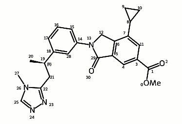 COC(=O)c1cc2c(c(C3CC3)c1)CN(c1cccc([C@H](C)Cc3nncn3C)c1)C2=O